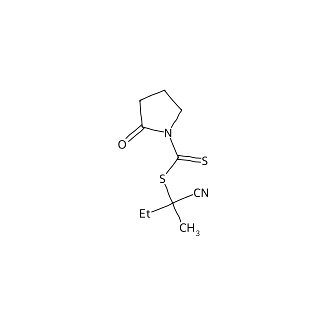 CCC(C)(C#N)SC(=S)N1CCCC1=O